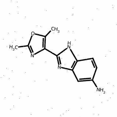 Cc1nc(-c2nc3cc(N)ccc3[nH]2)c(C)o1